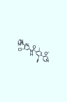 C#Cc1cc(C(=O)Nc2cnc(-n3nccn3)c(Cl)c2)c(C)cc1-c1ccncc1OC